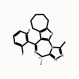 Cc1nnc2n1-c1sc3c(c1C(c1c(F)cccc1F)=N[C@H]2C)CCCCC3